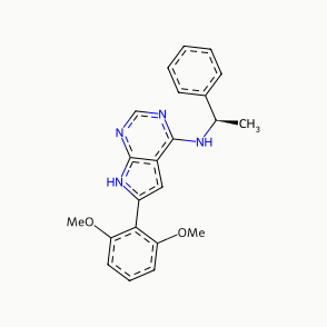 COc1cccc(OC)c1-c1cc2c(N[C@H](C)c3ccccc3)ncnc2[nH]1